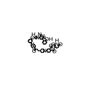 Nc1nnc(-c2ccccc2O)cc1N1CC(Oc2cccc(N3CCN(C(=O)CCC4CCN(c5ccc6c(c5)C(=O)N([C@@H]5CCC(=O)NC5=O)C6=O)CC4)CC3)c2)C1